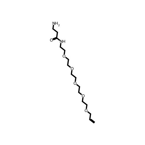 C=CCOCCOCCOCCOCCOCCNC(=O)CCN